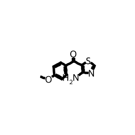 COc1ccc(C(=O)c2scnc2N)cc1